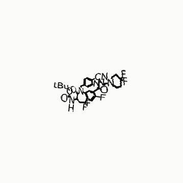 CC(C)(C)OC(=O)NC1CC(F)(F)c2cc(F)c(-c3nnc(N4CCC(F)(F)CC4)o3)cc2N(Cc2ccc(C#N)cc2)C1=O